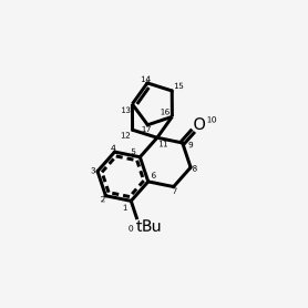 CC(C)(C)c1cccc2c1CCC(=O)C21CC2=CCC1C2